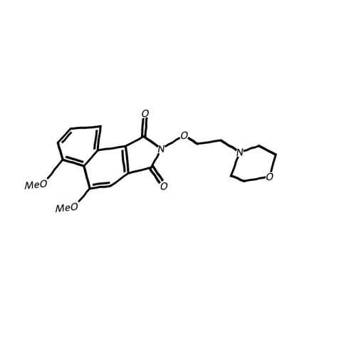 COc1cccc2c3c(cc(OC)c12)C(=O)N(OCCN1CCOCC1)C3=O